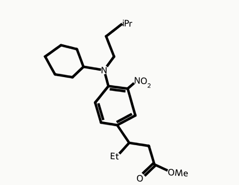 CCC(CC(=O)OC)c1ccc(N(CCC(C)C)C2CCCCC2)c([N+](=O)[O-])c1